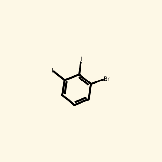 Brc1cccc(I)c1I